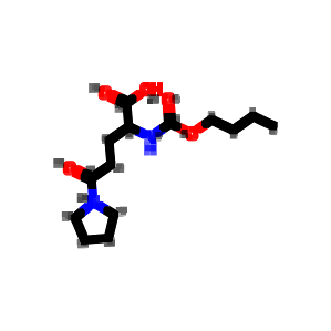 CCCCOC(=O)NC(CCC(=O)N1CCCC1)C(=O)O